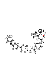 Cc1ccc(OC2CCN(C(=O)CCN3CCC(c4ccc(Oc5ccccc5)cc4)CC3)CC2)cc1C(F)(F)F